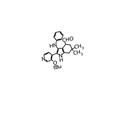 CC1(C)Cc2[nH]c(-c3ccncc3OC(C)(C)C)c(Nc3ccccc3)c2C(C=O)C1